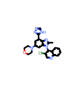 Cc1nc2c(-c3nnc[nH]3)cc(N3CCOCC3)cc2n1-c1c(Cl)cnc2ccccc12